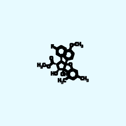 COC(=O)[C@H]1[C@@H](O)[C@@]2(O)c3c(C)cc(C)cc3O[C@@]2(c2ccc(OC)cc2)[C@@H]1c1cccc(F)c1